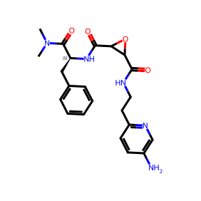 CN(C)C(=O)[C@H](Cc1ccccc1)NC(=O)C1OC1C(=O)NCCc1ccc(N)cn1